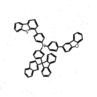 c1cc(N(c2ccc(-c3ccc4oc5ccccc5c4c3)cc2)c2ccc(-c3cccc4c3sc3ccccc34)cc2)cc(C2(c3ccc4ccccc4c3)c3ccccc3-c3ccccc32)c1